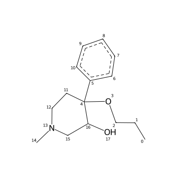 CCCOC1(c2ccccc2)CCN(C)CC1O